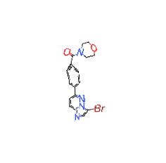 O=C(c1ccc(-c2ccc3ncc(Br)n3n2)cc1)N1CCOCC1